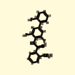 O=C(O)c1ccccc1C(=O)Nc1c(F)cc(-c2ccccc2F)cc1F